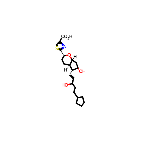 O=C(O)c1csc([C@H]2CC[C@@H]3[C@@H](/C=C/C(O)CCC4CCCC4)[C@H](O)C[C@@H]3O2)n1